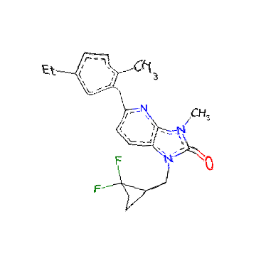 CCc1ccc(C)c(-c2ccc3c(n2)n(C)c(=O)n3CC2CC2(F)F)c1